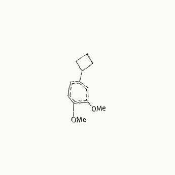 COc1ccc(C2CCC2)cc1OC